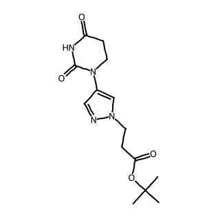 CC(C)(C)OC(=O)CCn1cc(N2CCC(=O)NC2=O)cn1